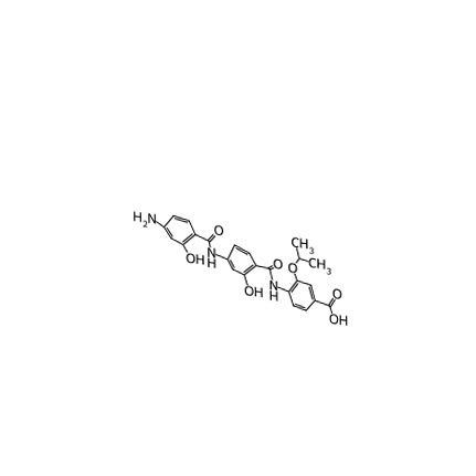 CC(C)Oc1cc(C(=O)O)ccc1NC(=O)c1ccc(NC(=O)c2ccc(N)cc2O)cc1O